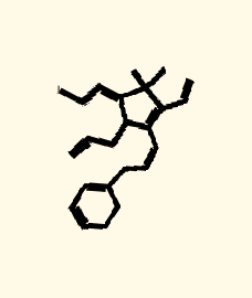 C=CCC1C(/C=C\CC2=CC=CCC2)=C(C=C)C(C)(C)/C1=C/CI